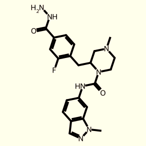 CN1CCN(C(=O)Nc2ccc3cnn(C)c3c2)C(Cc2ccc(C(=O)NN)cc2F)C1